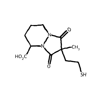 CC1(CCS)C(=O)N2CCCC(C(=O)O)N2C1=O